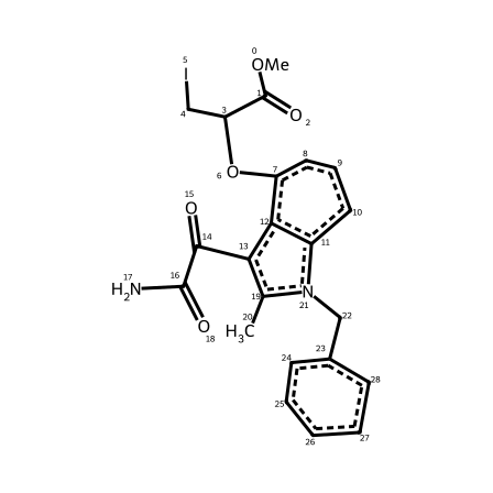 COC(=O)C(CI)Oc1cccc2c1c(C(=O)C(N)=O)c(C)n2Cc1ccccc1